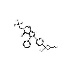 NC1(c2ccc(-c3sc4ncn(CC(F)(F)F)c(=O)c4c3-c3ccccc3)cc2)CC(O)C1